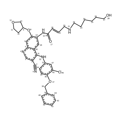 N#Cc1cnc2cc(OC3CCOC3)c(NC(=O)/C=C/CNCCCCCCO)cc2c1Nc1ccc(OCc2ccccn2)c(Cl)c1